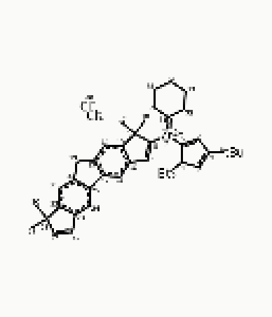 CCC1C=C(C(C)(C)C)C=[C]1[Zr+2]([C]1=Cc2cc3c(cc2C1(C)C)Cc1cc2c(cc1-3)C=CC2(C)C)=[C]1CCCCC1.[Cl-].[Cl-]